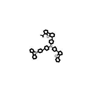 C=C(C)c1cccc2c1oc1c(-c3ccc(N(c4ccc(-c5ccc(-n6c7ccccc7c7ccccc76)cc5)cc4)c4ccc(-c5cccc6c5oc5ccccc56)cc4)cc3)cccc12